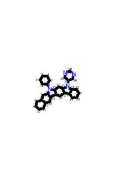 c1ccc(-n2c3cc4ccccc4cc3c3cc4c5ccccc5n(-c5cncnc5)c4cc32)cc1